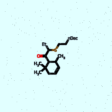 CCCCCCCCCCCCSC(CC)C(=O)C1C(C)C=CCC1(C)C